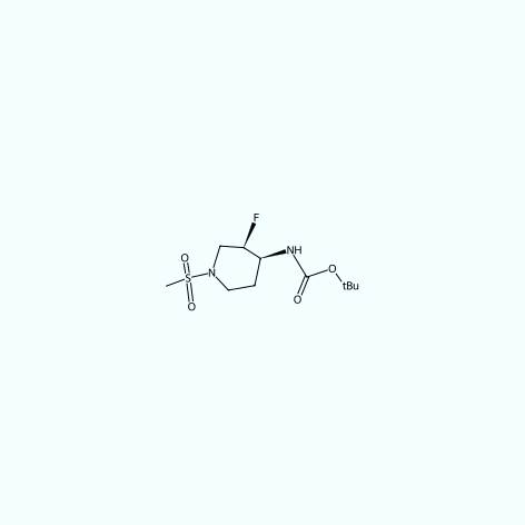 CC(C)(C)OC(=O)N[C@H]1CCN(S(C)(=O)=O)C[C@H]1F